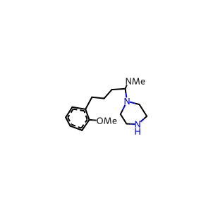 CNC(CCCc1ccccc1OC)N1CCNCC1